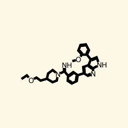 CCOCCC1CCN(C(=N)c2cccc(-c3cnc4[nH]cc(-c5ccccc5OC)c4c3)c2)CC1